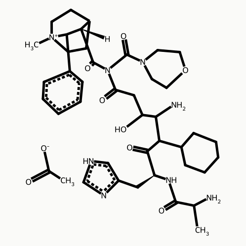 CC(=O)[O-].CC(N)C(=O)N[C@@H](Cc1c[nH]cn1)C(=O)C(C1CCCCC1)C(N)C(O)CC(=O)N(C(=O)[C@H]1C2CC[N+](C)(CC2)C1c1ccccc1)C(=O)N1CCOCC1